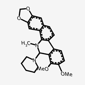 COc1ccc2c(c1OC)C(N1CCCCC1)N(C)c1c-2ccc2cc3c(cc12)OCO3